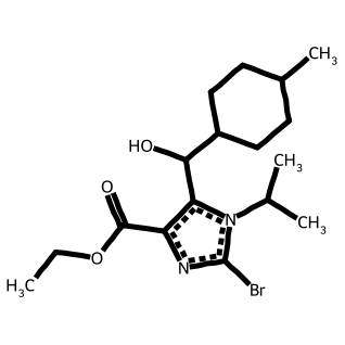 CCOC(=O)c1nc(Br)n(C(C)C)c1C(O)C1CCC(C)CC1